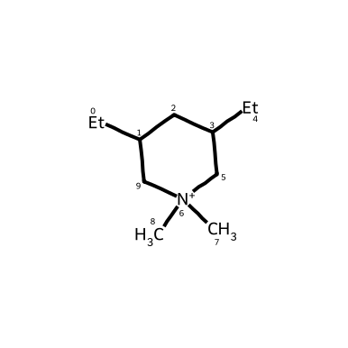 CCC1CC(CC)C[N+](C)(C)C1